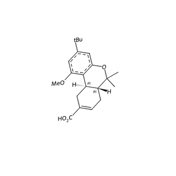 COc1cc(C(C)(C)C)cc2c1[C@@H]1CC(C(=O)O)=CC[C@H]1C(C)(C)O2